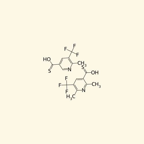 Cc1nc(C)c(C(F)(F)F)cc1C(O)=S.Cc1ncc(C(O)=S)cc1C(F)(F)F